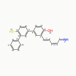 N=C/C=C\C=C\c1cc(-c2ccc(S)c(-c3ccccc3)c2)ccc1O